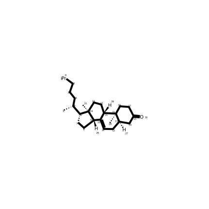 CC(C)CCC[C@@H](C)[C@H]1CC[C@H]2C3=CC[C@@H]4CC(=O)CC[C@]4(C)[C@H]3CC[C@]12C